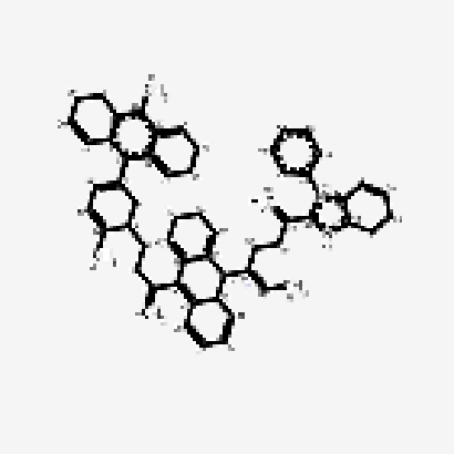 C=C(CCC1CC(c2c3c(c(C)c4c2=CCCC=4)CCC=C3)=CC=C1C)C1=C2C=CC=CC2C(/C(=C/C)CCC(=C)c2nc3c(n2-c2ccccc2)C=CCC3)C2=CCCC=C21